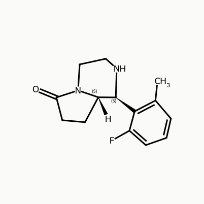 Cc1cccc(F)c1[C@@H]1NCCN2C(=O)CC[C@@H]12